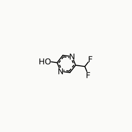 Oc1cnc(C(F)F)cn1